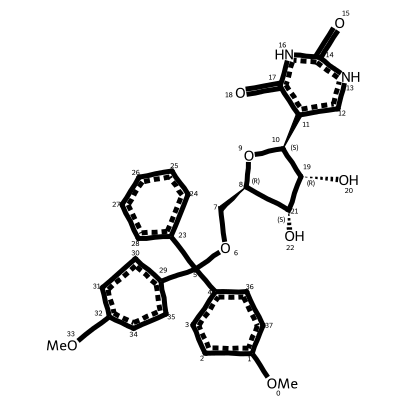 COc1ccc(C(OC[C@H]2O[C@@H](c3c[nH]c(=O)[nH]c3=O)[C@H](O)[C@@H]2O)(c2ccccc2)c2ccc(OC)cc2)cc1